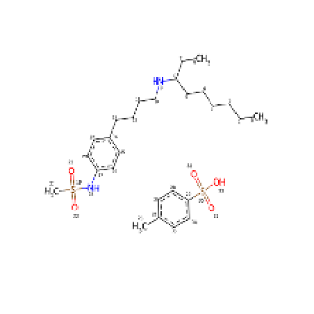 CCCCCCC(CC)NCCCCc1ccc(NS(C)(=O)=O)cc1.Cc1ccc(S(=O)(=O)O)cc1